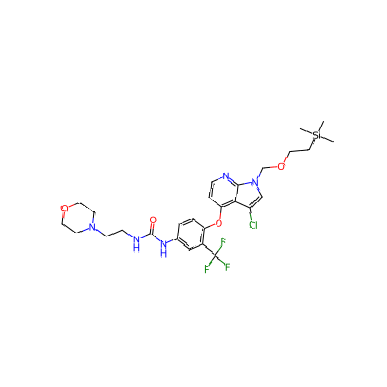 C[Si](C)(C)CCOCn1cc(Cl)c2c(Oc3ccc(NC(=O)NCCN4CCOCC4)cc3C(F)(F)F)ccnc21